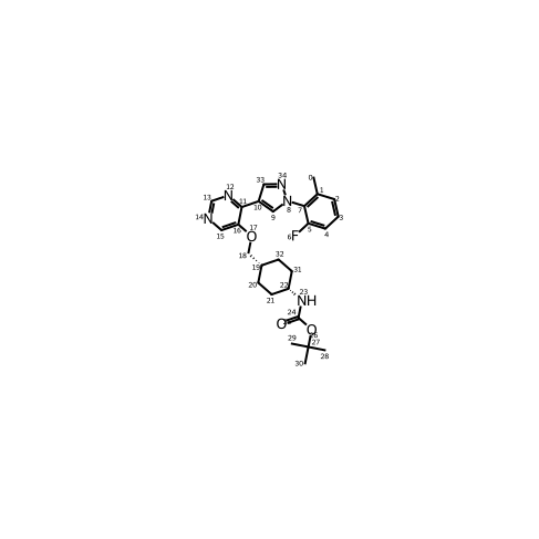 Cc1cccc(F)c1-n1cc(-c2ncncc2OC[C@H]2CC[C@@H](NC(=O)OC(C)(C)C)CC2)cn1